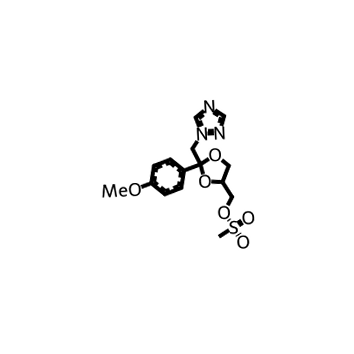 COc1ccc(C2(Cn3cncn3)OCC(COS(C)(=O)=O)O2)cc1